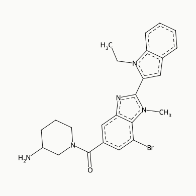 CCn1c(-c2nc3cc(C(=O)N4CCCC(N)C4)cc(Br)c3n2C)cc2ccccc21